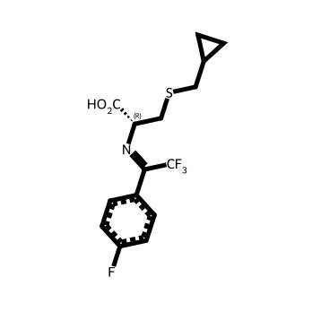 O=C(O)[C@H](CSCC1CC1)N=C(c1ccc(F)cc1)C(F)(F)F